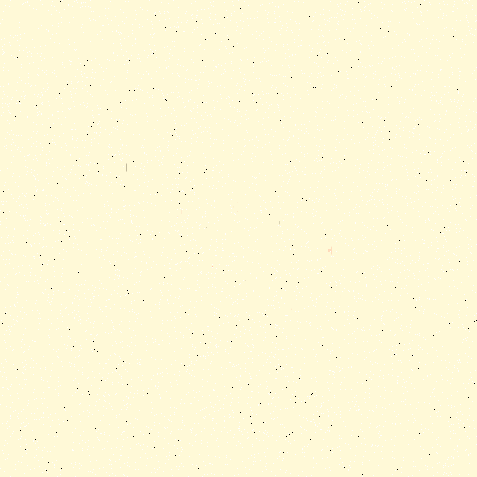 CCOC(=O)OC1COS(O)(O)C1C